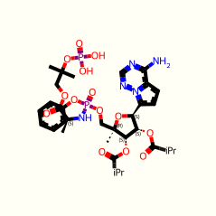 CC(C)C(=O)O[C@H]1[C@H](c2ccc3c(N)ncnn23)O[C@](C)(COP(=O)(N[C@@H](C)C(=O)OCC(C)(C)OP(=O)(O)O)Oc2ccccc2)[C@H]1OC(=O)C(C)C